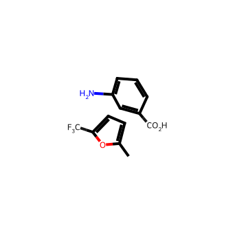 Cc1ccc(C(F)(F)F)o1.Nc1cccc(C(=O)O)c1